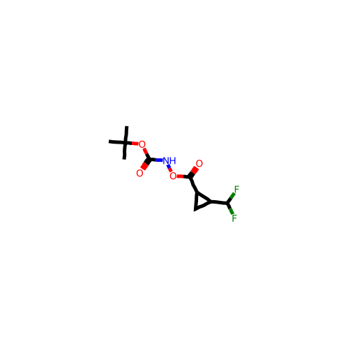 CC(C)(C)OC(=O)NOC(=O)C1CC1C(F)F